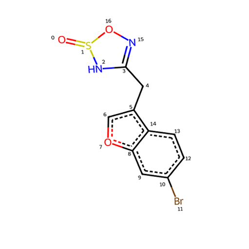 O=S1NC(Cc2coc3cc(Br)ccc23)=NO1